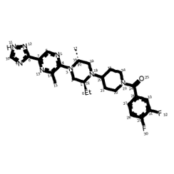 CC[C@H]1CN(c2ncc(-c3nc[nH]n3)nc2C)[C@H](C)CN1C1CCN(C(=O)c2ccc(F)c(F)c2)CC1